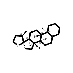 C[C@@H]1CCO[C@@]12CC[C@H]1[C@@H]3CCC4CCCC[C@]4(C)[C@H]3CC[C@@]12C